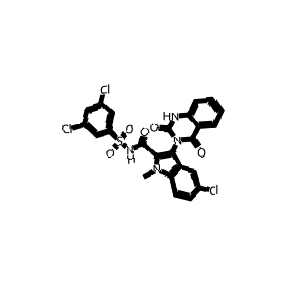 Cn1c(C(=O)NS(=O)(=O)c2cc(Cl)cc(Cl)c2)c(-n2c(=O)[nH]c3ccccc3c2=O)c2cc(Cl)ccc21